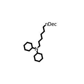 CCCCCCCCCCCCCCCCN(C1CCCCC1)C1CCCCC1